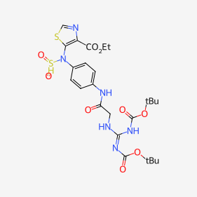 CCOC(=O)c1ncsc1N(c1ccc(NC(=O)CNC(=NC(=O)OC(C)(C)C)NC(=O)OC(C)(C)C)cc1)[SH](=O)=O